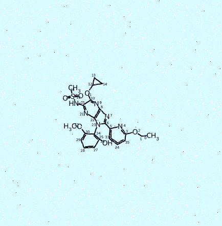 CCOC1=NC(c2nc3nc(OC4CC4)c(NS(C)(=O)=O)nc3n2-c2c(O)cccc2OC)=C=C=C1